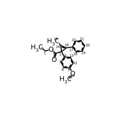 CCOC(=O)C1(c2ccc(OC)cc2)C(C)=C1c1ccccc1